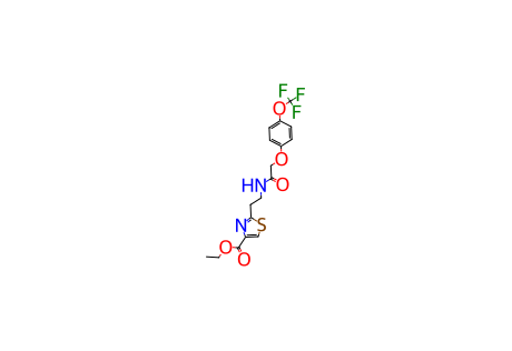 CCOC(=O)c1csc(CCNC(=O)COc2ccc(OC(F)(F)F)cc2)n1